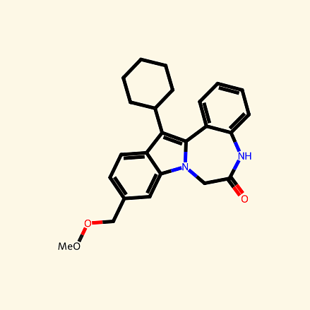 COOCc1ccc2c(C3CCCCC3)c3n(c2c1)CC(=O)Nc1ccccc1-3